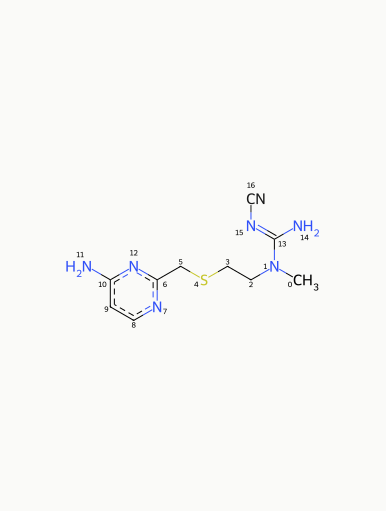 CN(CCSCc1nccc(N)n1)C(N)=NC#N